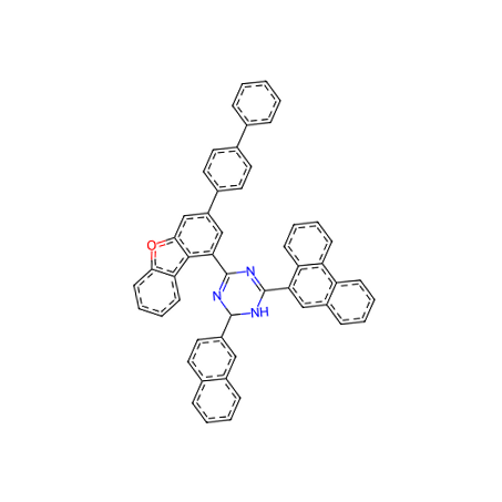 c1ccc(-c2ccc(-c3cc(C4=NC(c5ccc6ccccc6c5)NC(c5cc6ccccc6c6ccccc56)=N4)c4c(c3)oc3ccccc34)cc2)cc1